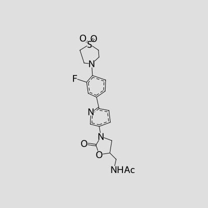 CC(=O)NCC1CN(c2ccc(-c3ccc(N4CCS(=O)(=O)CC4)c(F)c3)nc2)C(=O)O1